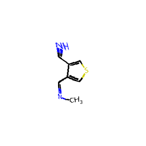 C/N=C\c1cscc1C=N